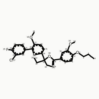 CCCOc1ccc(C2=NCC(CC)(c3ccc(OC)c(-c4ccc(F)c(Cl)c4)n3)O2)cc1OC